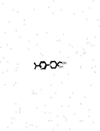 CC(C)c1ccc(N2CCC(O)(CO)CC2)cn1